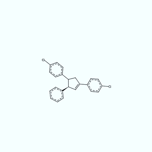 Clc1ccc(C2=C[C@@H](c3ccccc3)C(c3ccc(Cl)cc3)C2)cc1